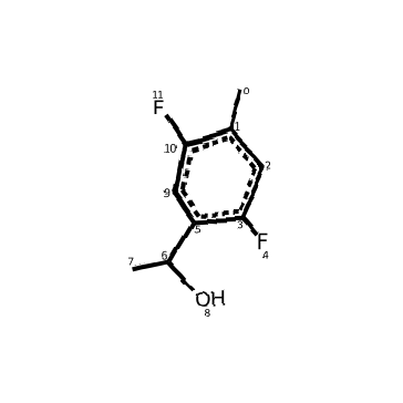 Cc1cc(F)c(C(C)O)cc1F